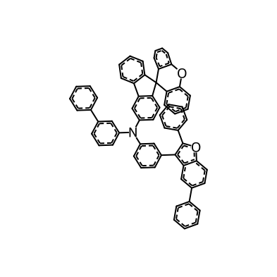 c1ccc(-c2cccc(N(c3cccc(-c4c(-c5ccccc5)oc5ccc(-c6ccccc6)cc45)c3)c3ccc4c(c3)-c3ccccc3C43c4ccccc4Oc4ccccc43)c2)cc1